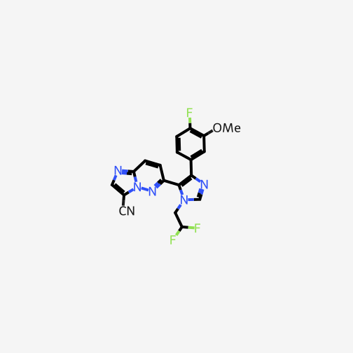 COc1cc(-c2ncn(CC(F)F)c2-c2ccc3ncc(C#N)n3n2)ccc1F